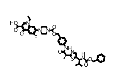 CCn1cc(C(=O)O)c(=O)c2cc(F)c(N3CCN(C(=O)OCc4ccc(NC(=O)[C@H](C)c5ncc(C(NC(=O)OCc6ccccc6)C(C)C)s5)cc4)CC3)cc21